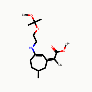 CCCOC(=O)/C(C#N)=C1\C=C(NCCOC(C)(C)OCC)CCC(C)C1